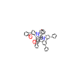 c1ccc(-c2cc(-c3ccccc3)c3c(c2)c2cc(-c4ccccc4)cc(-c4ccccc4)c2n3B2c3ccccc3-n3c4ccc5c6ccccc6oc5c4c4c5oc6ccccc6c5cc2c43)cc1